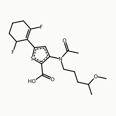 COC(C)CCCN(C(C)=O)c1cc(C2=C(F)CCCC2F)sc1C(=O)O